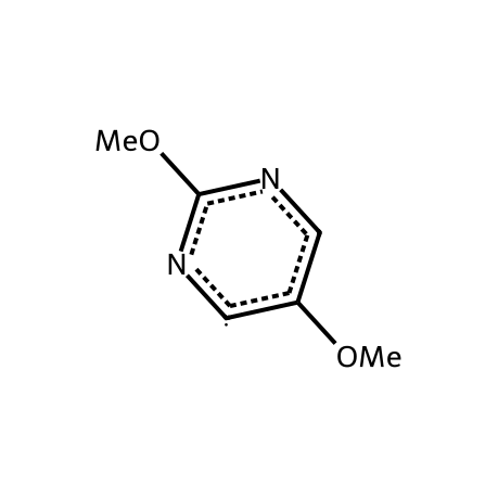 COc1[c]nc(OC)nc1